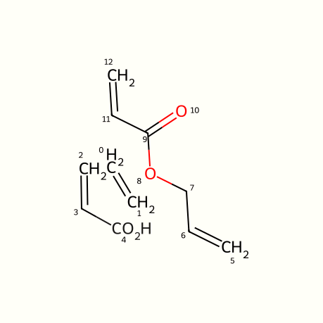 C=C.C=CC(=O)O.C=CCOC(=O)C=C